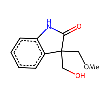 COCC1(CO)C(=O)Nc2ccccc21